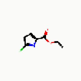 CCOC(=O)C1=CCC(Cl)=N1